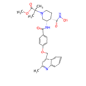 COC(=O)C(C)(C)N1CC[C@H](C(=O)NO)[C@H](NC(=O)c2ccc(OCc3cc(C)nc4ccccc34)cc2)C1